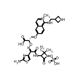 C[n+]1ccc2cc(OC[C@H](O/N=C(\C(=O)NC3C(=O)N(OS(=O)(=O)O)C3(C)C)c3csc(N)n3)C(=O)O)ccc2c1NCC1CNC1